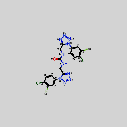 O=C(NCc1nnnn1-c1ccc(Cl)c(F)c1)NCc1nnnn1-c1ccc(Cl)c(F)c1